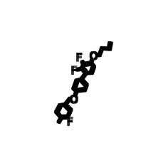 C=CCCOc1ccc(-c2ccc(OCc3ccc(C)c(F)c3)cc2)c(F)c1F